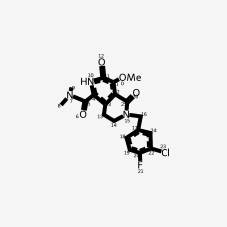 COc1c2c(c(C(=O)N(C)C)[nH]c1=O)CCN(Cc1ccc(F)c(Cl)c1)C2=O